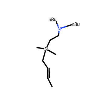 CC=CC[Si](C)(C)CCN(CCCC)CCCC